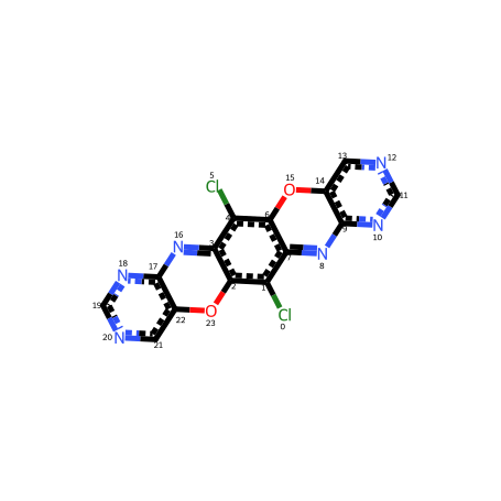 Clc1c2c(c(Cl)c3c1=Nc1ncncc1O3)=Nc1ncncc1O2